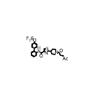 CC(=O)CCC(=O)N1CCC(c2nc(C(=O)Nc3ccccc3-c3ccc(OC(F)(F)F)cc3)cs2)CC1